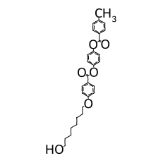 Cc1ccc(C(=O)Oc2ccc(OC(=O)c3ccc(OCCCCCCCCO)cc3)cc2)cc1